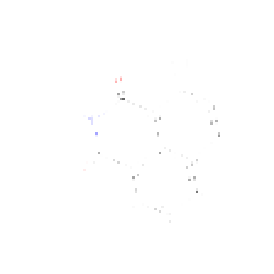 O=C1c2cccc3cccc(c23)C(=O)N1O.[Gd]